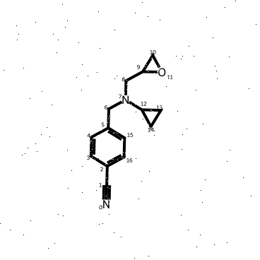 N#Cc1ccc(CN(CC2CO2)C2CC2)cc1